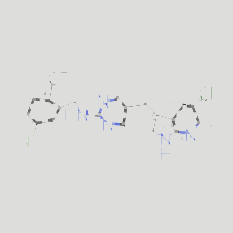 Fc1ccc(C(F)(F)F)c(CNc2ncc(CC3CNc4ncc(Cl)cc43)cn2)c1